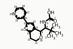 CC(C)(C)C(NC(=O)O)C1OCCc2sc(-c3cccnc3)cc21